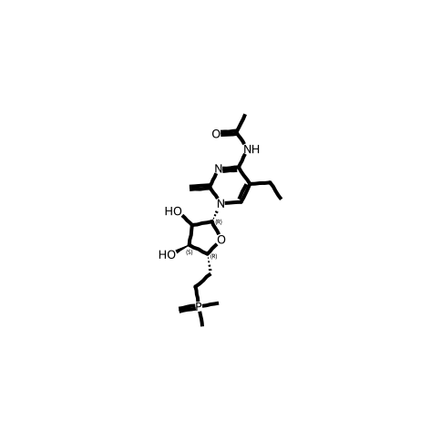 C=C1N=C(NC(C)=O)C(CC)=CN1[C@@H]1O[C@H](CCP(=C)(C)C)[C@@H](O)C1O